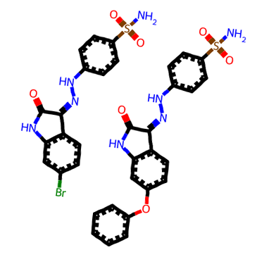 NS(=O)(=O)c1ccc(NN=C2C(=O)Nc3cc(Br)ccc32)cc1.NS(=O)(=O)c1ccc(NN=C2C(=O)Nc3cc(Oc4ccccc4)ccc32)cc1